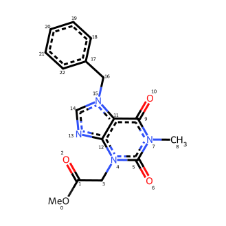 COC(=O)Cn1c(=O)n(C)c(=O)c2c1ncn2Cc1ccccc1